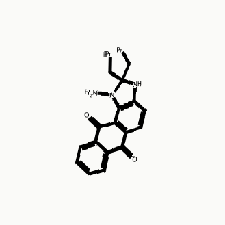 CC(C)CC1(CC(C)C)Nc2ccc3c(c2N1N)C(=O)c1ccccc1C3=O